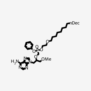 CCCCCCCCCCCCCCCCCCOCCOP(=O)(COC(COC)Cn1cnc2c(N)ncnc21)Oc1ccccc1